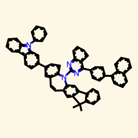 CC1(C)c2ccccc2-c2cc3c(cc21)C=Cc1cc(-c2ccc4c5ccccc5n(-c5ccccc5)c4c2)ccc1N3c1nc(-c2ccc(-c3cccc4ccccc34)cc2)c2ccccc2n1